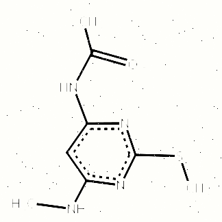 CNc1cc(NC(C)=O)nc(SC)n1